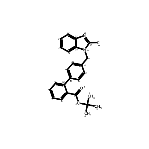 CC(C)(C)OC(=O)c1ccccc1-c1ccc(Cn2c(Cl)nc3ccccc32)cc1